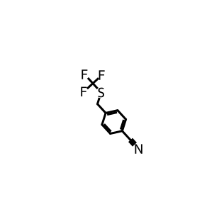 N#Cc1ccc(CSC(F)(F)F)cc1